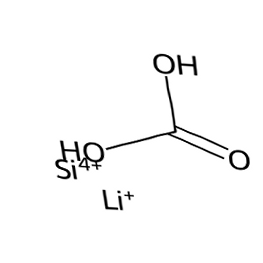 O=C(O)O.[Li+].[Si+4]